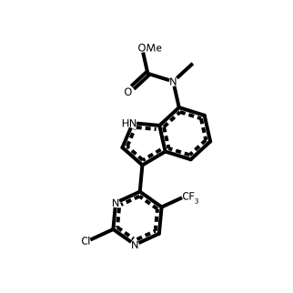 COC(=O)N(C)c1cccc2c(-c3nc(Cl)ncc3C(F)(F)F)c[nH]c12